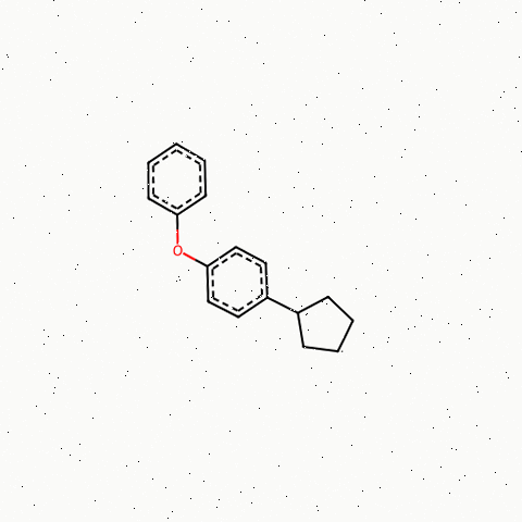 [CH]1CCC(c2ccc(Oc3ccccc3)cc2)C1